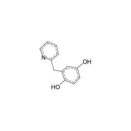 Oc1ccc(O)c(Cc2ccccn2)c1